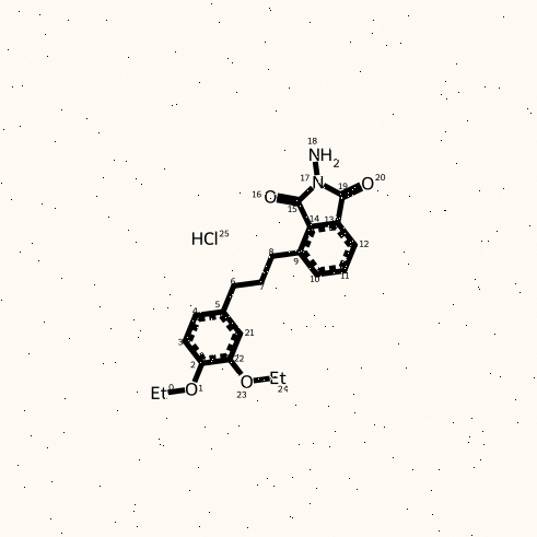 CCOc1ccc(CCCc2cccc3c2C(=O)N(N)C3=O)cc1OCC.Cl